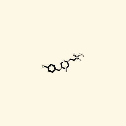 CS(=O)(=O)CC[C@H]1CN[C@@H](Cc2ccc(Cl)cc2)CO1